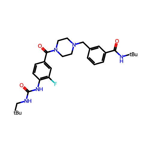 CC(C)(C)CNC(=O)Nc1ccc(C(=O)N2CCN(Cc3cccc(C(=O)NC(C)(C)C)c3)CC2)cc1F